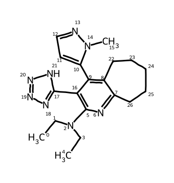 CCN(CC)c1nc2c(c(-c3ccnn3C)c1-c1nnn[nH]1)CCCCC2